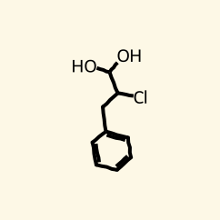 OC(O)C(Cl)Cc1ccccc1